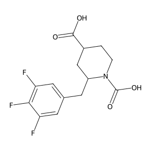 O=C(O)C1CCN(C(=O)O)C(Cc2cc(F)c(F)c(F)c2)C1